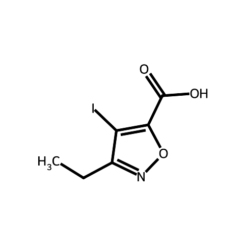 CCc1noc(C(=O)O)c1I